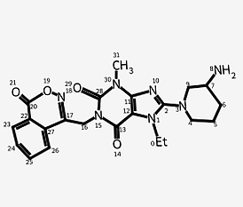 CCn1c(N2CCCC(N)C2)nc2c1c(=O)n(Cc1noc(=O)c3ccccc13)c(=O)n2C